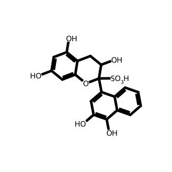 O=S(=O)(O)C1(c2cc(O)c(O)c3ccccc23)Oc2cc(O)cc(O)c2CC1O